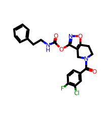 O=C(NCCc1ccccc1)Oc1noc2c1CN(C(=O)c1ccc(F)c(Cl)c1)CC2